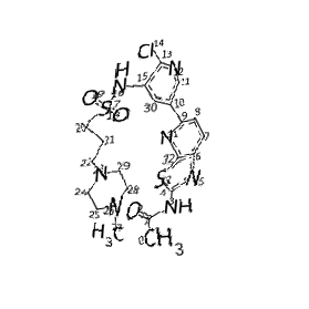 CC(=O)Nc1nc2ccc(-c3cnc(Cl)c(NS(=O)(=O)CCCN4CCN(C)CC4)c3)nc2s1